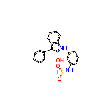 O=[SH](=O)Nc1ccccc1.Oc1[nH]c2ccccc2c1-c1ccccc1